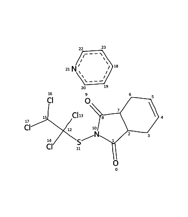 O=C1C2CC=CCC2C(=O)N1SC(Cl)(Cl)C(Cl)Cl.c1ccncc1